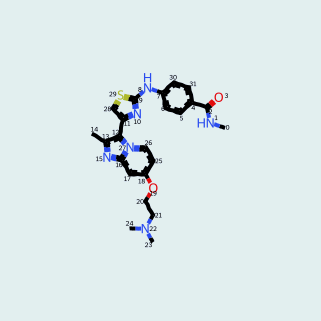 CNC(=O)c1ccc(Nc2nc(-c3c(C)nc4cc(OCCN(C)C)ccn34)cs2)cc1